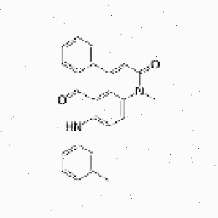 Cc1cccc(Nc2ccc3c4c(cc(=O)n3C)-c3ccccc3C(=O)c24)c1